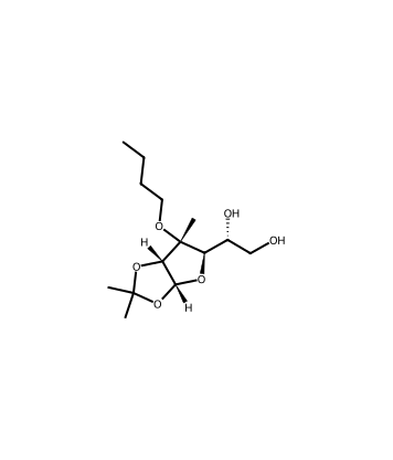 CCCCO[C@]1(C)[C@@H]([C@H](O)CO)O[C@@H]2OC(C)(C)O[C@@H]21